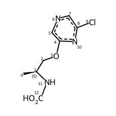 C[C@@H](COc1cncc(Cl)n1)NC(=O)O